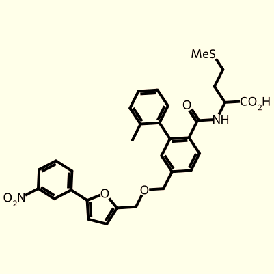 CSCCC(NC(=O)c1ccc(COCc2ccc(-c3cccc([N+](=O)[O-])c3)o2)cc1-c1ccccc1C)C(=O)O